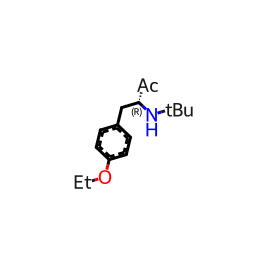 CCOc1ccc(C[C@@H](NC(C)(C)C)C(C)=O)cc1